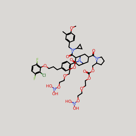 COc1ccc(CN(C(=O)C2C(c3ccc(CCCOc4c(F)ccc(F)c4Cl)cc3)CC3CC(C(=O)N4CCCC4COC(=O)OCCOCCON(O)O)CC2N3C(=O)OCCOCCON(O)O)C2CC2)cc1C